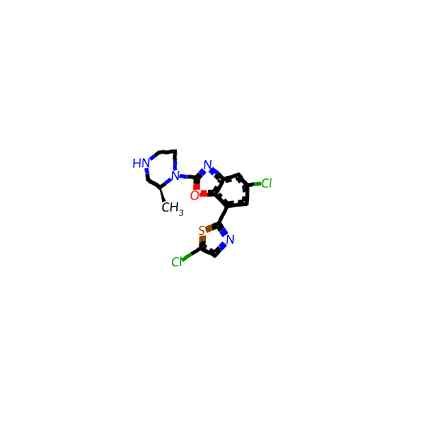 C[C@H]1CNCCN1c1nc2cc(Cl)cc(-c3ncc(Cl)s3)c2o1